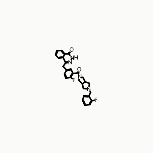 O=C(c1cc(Cc2n[nH]c(=O)c3ccccc23)ccc1F)N1CC2CN(Cc3ccccc3F)CC2C1